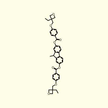 CCC1(COc2ccc(C(=O)Oc3ccc4c(c3)C(C)c3cc(OC(=O)c5ccc(OCC6(CC)COC6)cc5)ccc3-4)cc2)COC1